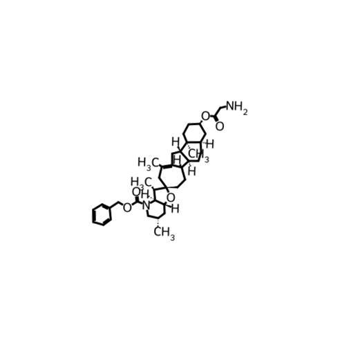 CC1=C2C[C@H]3[C@@H](CC[C@@H]4C[C@H](OC(=O)CN)CC[C@@]43C)[C@@H]2CC[C@@]2(C1)O[C@@H]1C[C@H](C)CN(C(=O)OCc3ccccc3)[C@H]1[C@H]2C